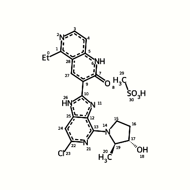 CCc1nccc2[nH]c(=O)c(-c3nc4c(N5CC[C@H](O)[C@H]5C)nc(Cl)cc4[nH]3)cc12.CS(=O)(=O)O